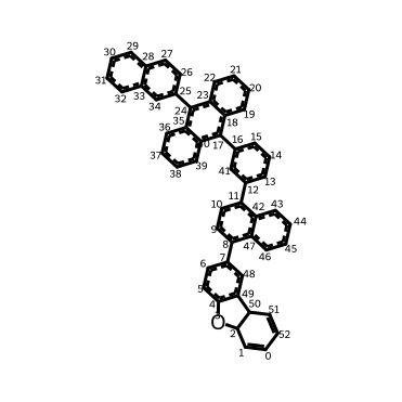 C1=CC2Oc3ccc(-c4ccc(-c5cccc(-c6c7ccccc7c(-c7ccc8ccccc8c7)c7ccccc67)c5)c5ccccc45)cc3C2C=C1